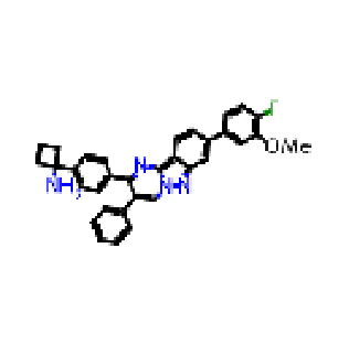 COc1cc(-c2ccc3c(c2)nn2cc(-c4ccccc4)c(-c4ccc(C5(N)CCC5)cc4)nc32)ccc1F